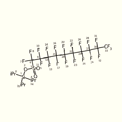 CC(C)[Si](OS(=O)(=O)C(F)(F)C(F)(F)C(F)(F)C(F)(F)C(F)(F)C(F)(F)C(F)(F)C(F)(F)C(F)(F)C(F)(F)F)(C(C)C)C(C)C